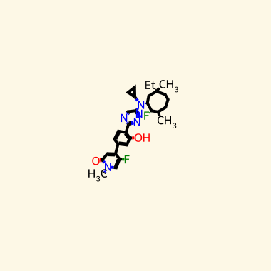 CC[C@]1(C)CCCC(C)[C@H](F)[C@H](N(c2cnc(-c3ccc(-c4cc(=O)n(C)cc4F)cc3O)nn2)C2CC2)C1